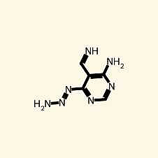 N=Cc1c(N)ncnc1N=NN